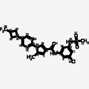 Cc1cc(C(=O)Nc2cc(Cl)cc(NS(C)(=O)=O)c2)cn1-c1ncc(N2CC(C(F)(F)F)C2)cn1